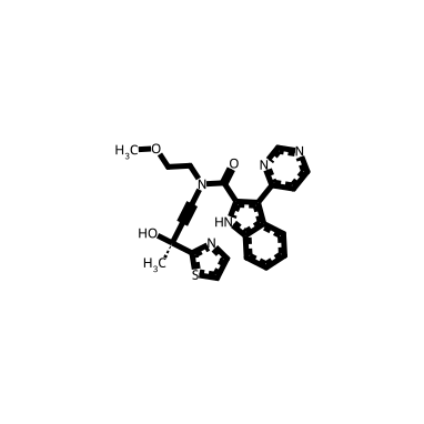 COCCN(C#C[C@](C)(O)c1nccs1)C(=O)c1[nH]c2ccccc2c1-c1ccncn1